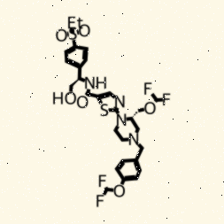 CCS(=O)(=O)c1ccc([C@H](CO)NC(=O)c2cnc(N3CCN(Cc4ccc(OC(F)F)cc4)C[C@H]3COC(F)F)s2)cc1